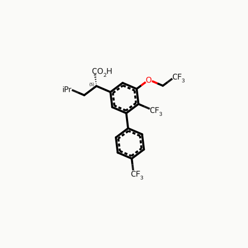 CC(C)C[C@H](C(=O)O)c1cc(OCC(F)(F)F)c(C(F)(F)F)c(-c2ccc(C(F)(F)F)cc2)c1